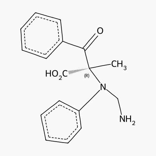 C[C@](C(=O)O)(C(=O)c1ccccc1)N(CN)c1ccccc1